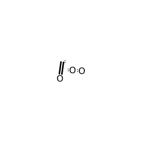 [C]=O.[O].[O]